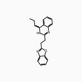 CC/C=C1/NC(CCc2nc3ccccc3o2)=Nc2ccccc21